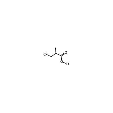 CCOC(=O)C(C)CCl